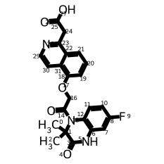 CC1(C)C(=O)Nc2cc(F)ccc2N1C(=O)COc1cccc2c(CC(=O)O)nccc12